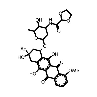 COc1cccc2c1C(=O)c1c(O)c3c(c(O)c1C2=O)C[C@@](O)(C(C)=O)C[C@@H]3OC1CC(NC(=O)C2OCCO2)C(O)C(C)O1